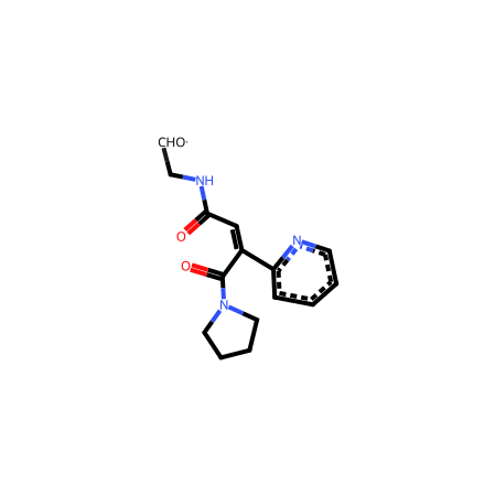 O=[C]CNC(=O)C=C(C(=O)N1CCCC1)c1ccccn1